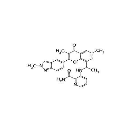 Cc1cc(C(C)Nc2cccnc2C(N)=O)c2oc(-c3ccc4nn(C)cc4c3)c(C)c(=O)c2c1